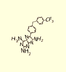 Nc1nc(N)c2nc(-c3ccc(Cc4ccc(C(F)(F)F)cc4)cc3)c(N)nc2n1